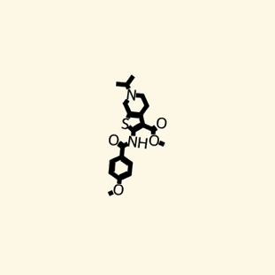 COC(=O)c1c(NC(=O)c2ccc(OC)cc2)sc2c1CCN(C(C)C)C2